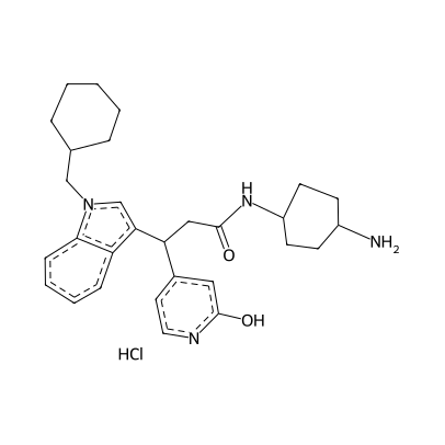 Cl.NC1CCC(NC(=O)CC(c2ccnc(O)c2)c2cn(CC3CCCCC3)c3ccccc23)CC1